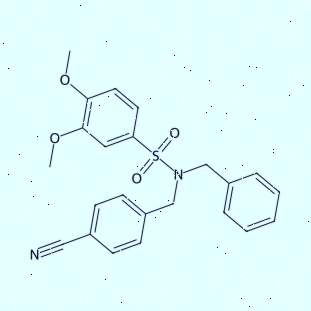 COc1ccc(S(=O)(=O)N(Cc2ccccc2)Cc2ccc(C#N)cc2)cc1OC